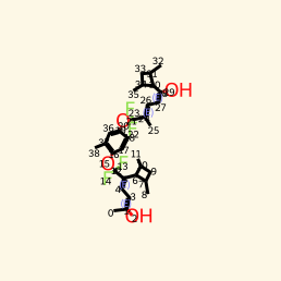 C/C(O)=C\C=C(/C1C(C)CC1C)C(F)(F)Oc1ccc(OC(F)(F)/C(C)=C/C=C(/O)C2C(C)CC2C)cc1C